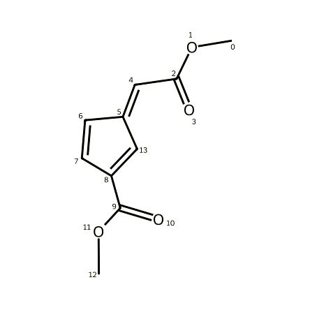 COC(=O)C=C1C=CC(C(=O)OC)=C1